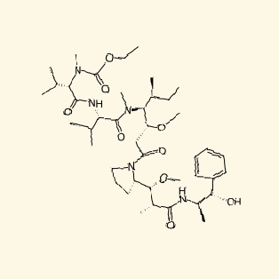 CCOC(=O)N(C)[C@H](C(=O)N[C@H](C(=O)N(C)[C@@H]([C@@H](C)CC)[C@@H](CC(=O)N1CCC[C@H]1[C@H](OC)[C@@H](C)C(=O)N[C@H](C)[C@@H](O)c1ccccc1)OC)C(C)C)C(C)C